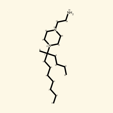 CCCCCCCC(C)(CCCC)N1CCN(CCN)CC1